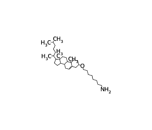 CC(C)CCCC(C)C1CCC2C3CC=C4CC(OCCCCCCCCN)CCC4(C)C3CCC12C